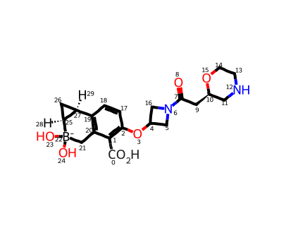 O=C(O)c1c(OC2CN(C(=O)C[C@@H]3CNCCO3)C2)ccc2c1C[B-](O)(O)[C@H]1C[C@@H]21